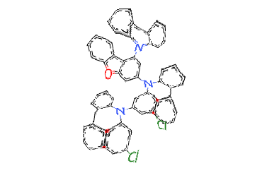 Clc1cccc(N(c2cc(Cl)cc(N(c3cc(-n4c5ccccc5c5ccccc54)c4c(c3)oc3ccccc34)c3ccccc3-c3ccccc3)c2)c2ccccc2-c2ccccc2)c1